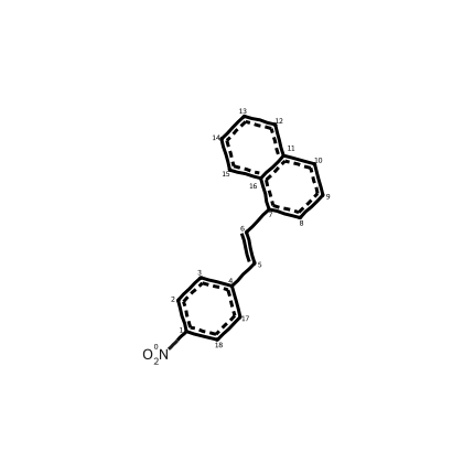 O=[N+]([O-])c1ccc(C=Cc2cccc3ccccc23)cc1